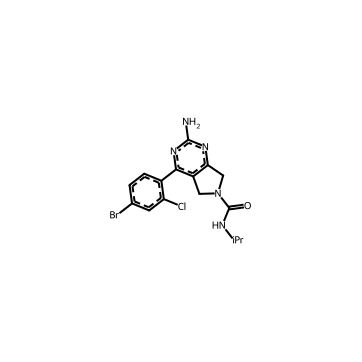 CC(C)NC(=O)N1Cc2nc(N)nc(-c3ccc(Br)cc3Cl)c2C1